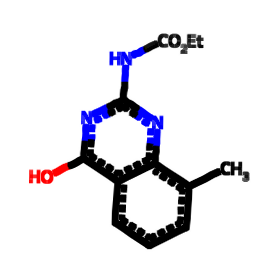 CCOC(=O)Nc1nc(O)c2cccc(C)c2n1